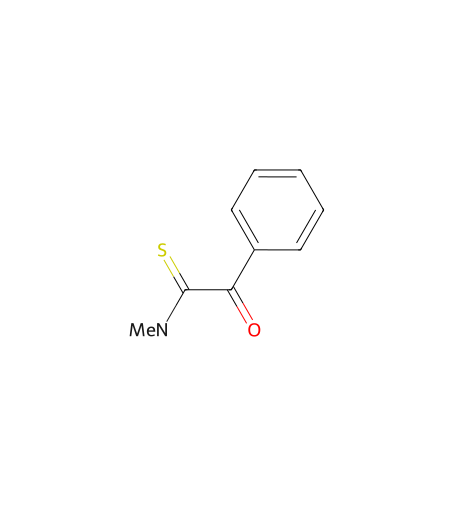 CNC(=S)C(=O)c1ccccc1